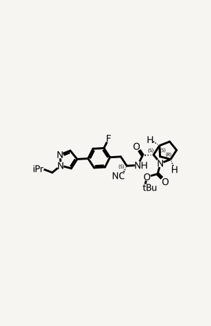 CC(C)Cn1cc(-c2ccc(C[C@@H](C#N)NC(=O)[C@@H]3[C@H]4CC[C@H](C4)N3C(=O)OC(C)(C)C)c(F)c2)cn1